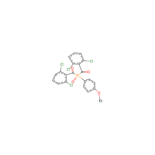 CCOc1ccc(P(=O)(C(=O)c2c(Cl)cccc2Cl)C(=O)c2c(Cl)cccc2Cl)cc1